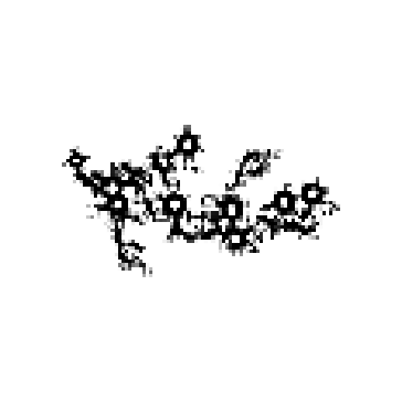 COc1ccccc1-c1nccc(COc2ccccc2C[C@@H](Oc2nsc3cnc(/C(C=N)=C/NCC4CC4c4ccc(OCc5ccnc(-c6ccccc6OC)n5)c(C[C@@H](Oc5nsc6cnc(-c7cnn(CC8CCC8)c7)c(-c7ccc(OCCN8CCN(C)CC8)c(Cl)c7C)c56)C(=O)O)c4)c(-c4ccc(OCCN5CCN(C)CC5)c(Cl)c4C)c23)C(=O)O)n1